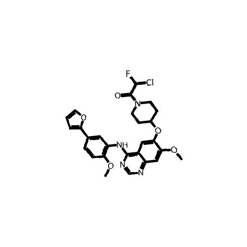 COc1ccc(-c2ccco2)cc1Nc1ncnc2cc(OC)c(OC3CCN(C(=O)C(F)Cl)CC3)cc12